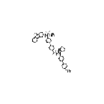 CCCC(C)(C)N(c1ccc(-c2ccc(C(C)C(C)(CCC)N(c3ccccc3)c3ccc(-c4ccc(C(C)C)cc4)cc3)cc2)cc1)c1ccc2oc3ccccc3c2c1